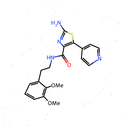 COc1cccc(CCNC(=O)c2nc(N)sc2-c2ccncc2)c1OC